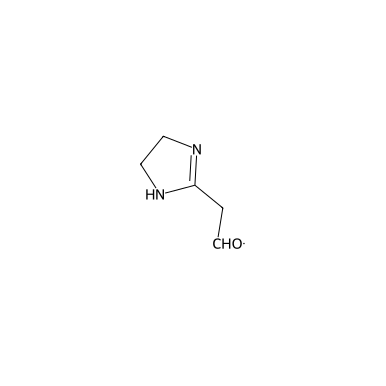 O=[C]CC1=NCCN1